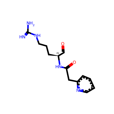 N=C(N)NCCC[C@@H](C=O)NC(=O)Cc1ccccn1